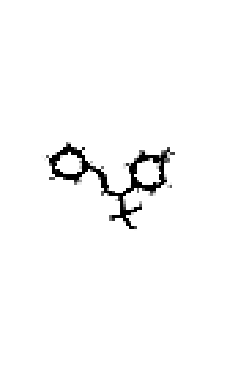 CC(C)(C)C(/C=C/c1ccccc1)c1ccc(O)cc1